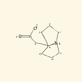 O=C(Cl)CC12CCCN1CCC2